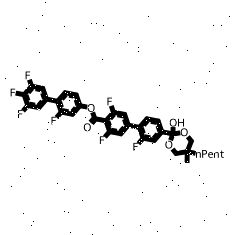 CCCCCC1(C)COC(O)(c2ccc(-c3cc(F)c(C(=O)Oc4ccc(-c5cc(F)c(F)c(F)c5)c(F)c4)c(F)c3)c(F)c2)OC1